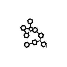 c1ccc(-c2ccc(N(c3ccncc3)c3cccc(-c4ccc5c(-c6ccccc6)c6c7ccccc7c7ccccc7n6c5c4)c3)cc2)cc1